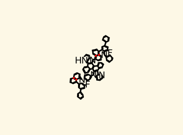 Fc1cc(-c2ccccc2)cc(-c2ccccc2)c1N(c1ccccc1)c1ccc(-n2c3c(c4c5ccccc5c5c(c6ccccc6c6c7ncccc7n(-c7ccc(N(c8ccccc8)c8c(F)cc(-c9ccccc9)cc8-c8ccccc8)cc7)c65)c42)NCC=C3)cc1